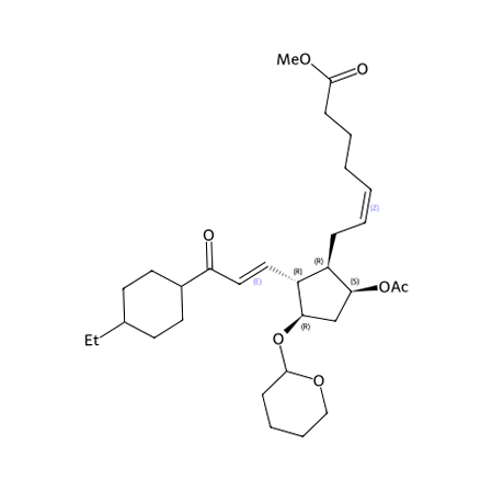 CCC1CCC(C(=O)/C=C/[C@@H]2[C@@H](C/C=C\CCCC(=O)OC)[C@@H](OC(C)=O)C[C@H]2OC2CCCCO2)CC1